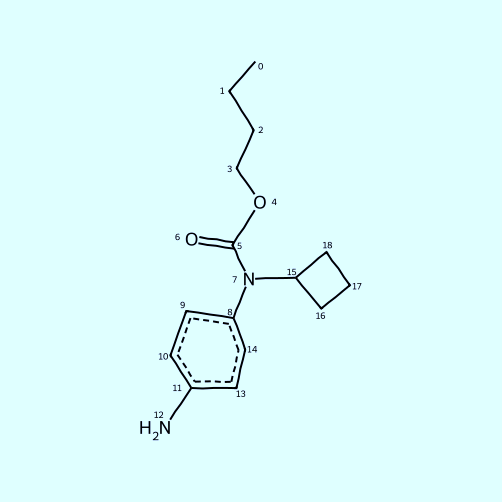 CCCCOC(=O)N(c1ccc(N)cc1)C1CCC1